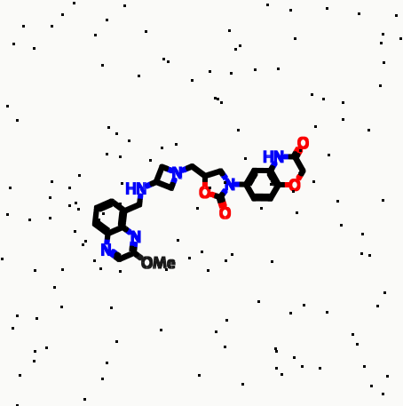 COc1cnc2cccc(CNC3CN(CC4CN(c5ccc6c(c5)NC(=O)CO6)C(=O)O4)C3)c2n1